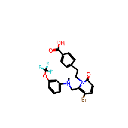 CN(Cc1c(Br)ccc(=O)n1CCc1ccc(C(=O)O)cc1)c1cccc(OC(F)(F)F)c1